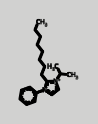 CCCCCCCCc1n(-c2ccccc2)cc[n+]1C(C)C